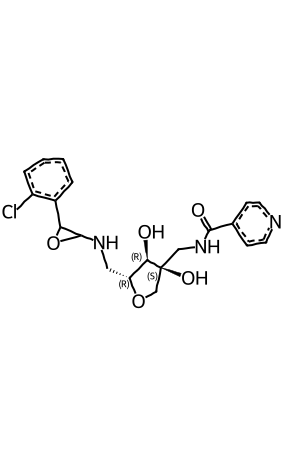 O=C(NC[C@]1(O)CO[C@H](CNC2OC2c2ccccc2Cl)[C@H]1O)c1ccncc1